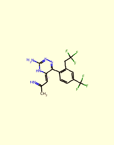 CC(=N)/C=C1\NC(N)=NN=C1c1ccc(C(F)(F)F)cc1CC(F)(F)F